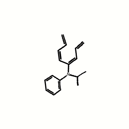 C=C/C=C\C(=C/C=C)N(c1ccccc1)C(C)C